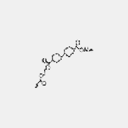 C=CC(=O)OCCOC(=O)C1CCC(C2CCC(C(=O)OC)CC2)CC1